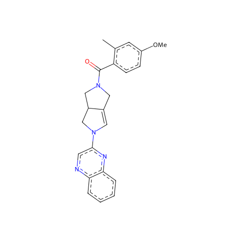 COc1ccc(C(=O)N2CC3=CN(c4cnc5ccccc5n4)CC3C2)c(C)c1